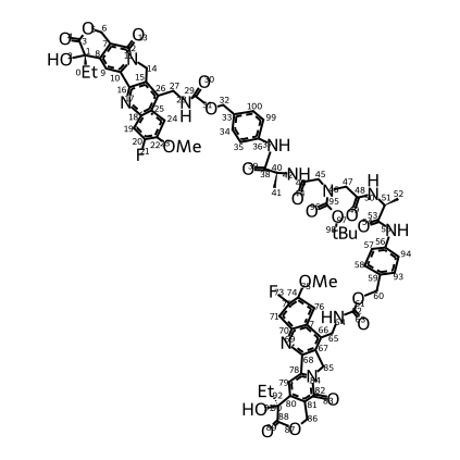 CC[C@@]1(O)C(=O)OCc2c1cc1n(c2=O)Cc2c-1nc1cc(F)c(OC)cc1c2CNC(=O)OCc1ccc(NC(=O)[C@H](C)NC(=O)CN(CC(=O)N[C@@H](C)C(=O)Nc2ccc(COC(=O)NCc3c4c(nc5cc(F)c(OC)cc35)-c3cc5c(c(=O)n3C4)COC(=O)[C@]5(O)CC)cc2)C(=O)OC(C)(C)C)cc1